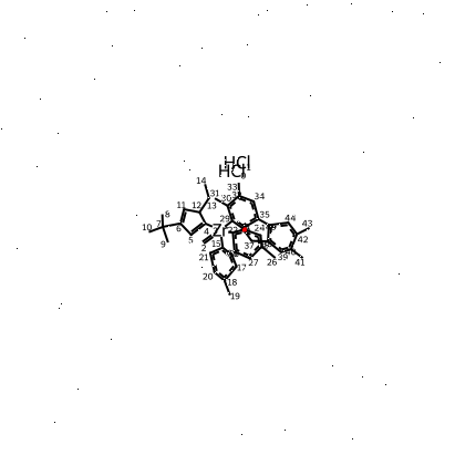 Cl.Cl.[CH2]=[Zr]([C]1=CC(C(C)(C)C)=CC1CC)([c]1ccc(C)cc1)([c]1ccc(C)cc1)[c]1c(C)c(C)cc2c1Cc1cc(C)c(C)cc1-2